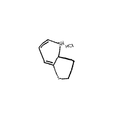 C1=CNC2CCSC2=C1.Cl